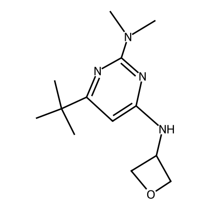 CN(C)c1nc(NC2COC2)cc(C(C)(C)C)n1